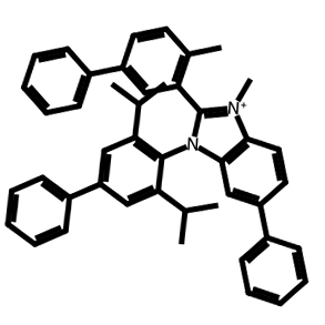 Cc1ccc(-c2ccccc2)cc1-c1n(-c2c(C(C)C)cc(-c3ccccc3)cc2C(C)C)c2cc(-c3ccccc3)ccc2[n+]1C